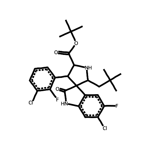 CC(C)(C)CC1NC(C(=O)OC(C)(C)C)C(c2cccc(Cl)c2F)C12C(=O)Nc1cc(Cl)c(F)cc12